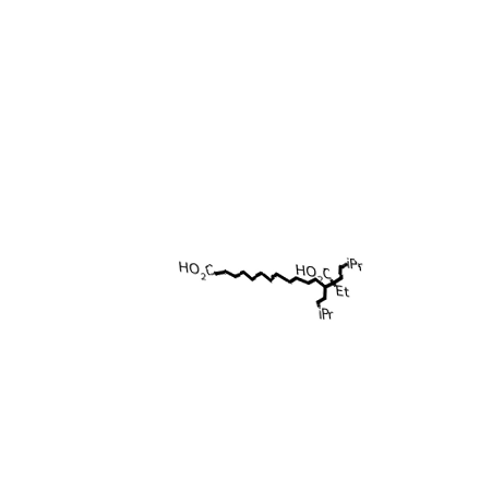 CCC(CCC(C)C)(C(=O)O)C(CCCCCCCCCCCCC(=O)O)CCC(C)C